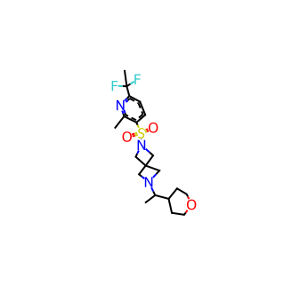 Cc1nc(C(C)(F)F)ccc1S(=O)(=O)N1CC2(CN(C(C)C3CCOCC3)C2)C1